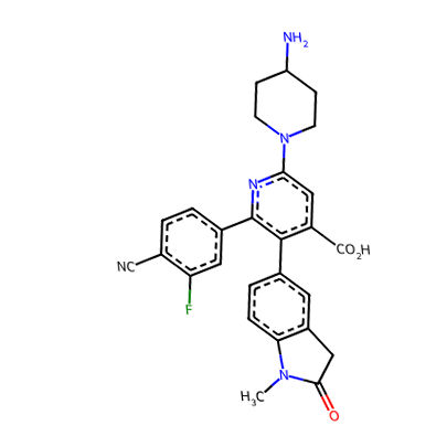 CN1C(=O)Cc2cc(-c3c(C(=O)O)cc(N4CCC(N)CC4)nc3-c3ccc(C#N)c(F)c3)ccc21